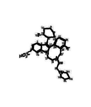 O=C(O)c1ccc2c([C@@H]3CCCC[C@H]3F)c3n(c2c1)CCN(CCN1CCCC1)Cc1c(F)cccc1-3